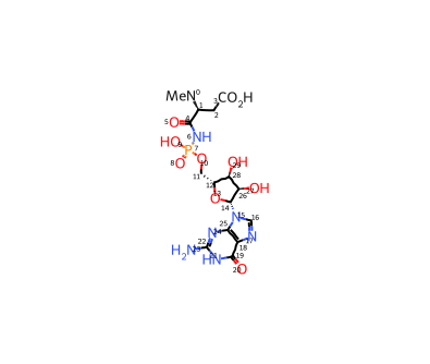 CN[C@@H](CC(=O)O)C(=O)NP(=O)(O)OC[C@H]1O[C@@H](n2cnc3c(=O)[nH]c(N)nc32)[C@H](O)[C@@H]1O